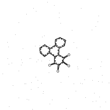 O=c1c(=O)c(=O)c2c3ccccc3c3ccccc3c2c1=O